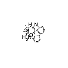 C[Si]1(C)CCC(c2ccccc2N)(c2ccccc2N)O[Si]1(C)C